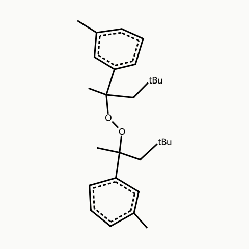 Cc1cccc(C(C)(CC(C)(C)C)OOC(C)(CC(C)(C)C)c2cccc(C)c2)c1